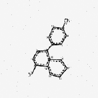 N#Cc1ccc(-c2ccc(Br)c3ccccc23)cc1